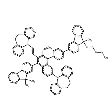 C=Cc1c(/C=C/N2c3ccccc3CCc3ccccc32)c(-c2ccc3c(c2)C(C)(C)c2ccccc2-3)c2ccc(N3c4ccccc4CCc4ccccc43)cc2c1-c1ccc(-c2ccc3c(c2)-c2ccccc2C3(C)OOOOO)cc1